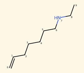 C=CCCCCCNCC